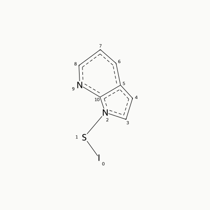 ISn1ccc2cccnc21